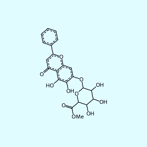 COC(=O)C1OC(Oc2cc3oc(-c4ccccc4)cc(=O)c3c(O)c2O)C(O)C(O)C1O